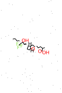 CCCC[C@H]([C@H](O)/C=C/[C@H]1CC[C@@H]2O[C@@H](CCCC(C)C(=O)O)C[C@@H]21)C(F)(F)F